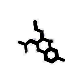 Cc1ccc2c(c1)NC(=N/C=O)/C(=C/N(C)F)O2